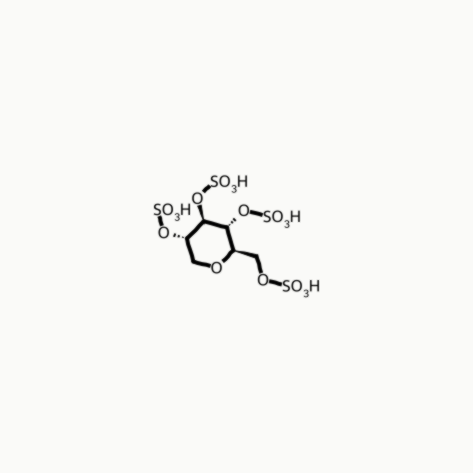 O=S(=O)(O)OC[C@H]1OC[C@H](OS(=O)(=O)O)[C@@H](OS(=O)(=O)O)[C@@H]1OS(=O)(=O)O